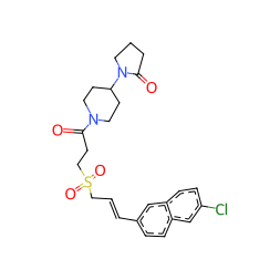 O=C(CCS(=O)(=O)CC=Cc1ccc2cc(Cl)ccc2c1)N1CCC(N2CCCC2=O)CC1